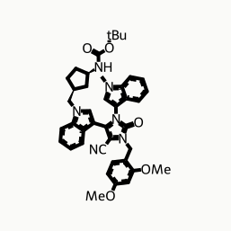 COc1ccc(Cn2c(C#N)c(-c3cn(C[C@H]4CC[C@@H](NC(=O)OC(C)(C)C)C4)c4ccccc34)n(-c3cn(C)c4ccccc34)c2=O)c(OC)c1